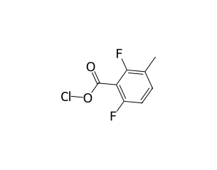 Cc1ccc(F)c(C(=O)OCl)c1F